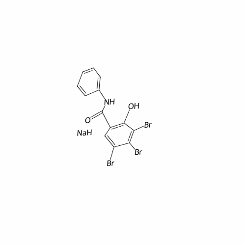 O=C(Nc1ccccc1)c1cc(Br)c(Br)c(Br)c1O.[NaH]